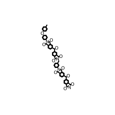 Cc1ccc(Oc2ccc(N3C(=O)c4ccc(C(=O)c5ccc6c(c5)C(=O)N(Cc5cccc(N7C(=O)c8ccc(C(=O)c9ccc%10c(c9)C(=O)N(C)C%10=O)cc8C7=O)c5)C6=O)cc4C3=O)cc2)cc1